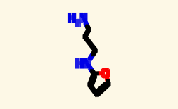 NCCCNc1ccco1